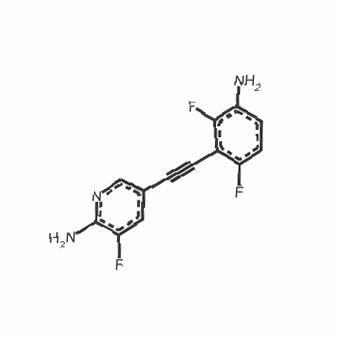 Nc1ccc(F)c(C#Cc2cnc(N)c(F)c2)c1F